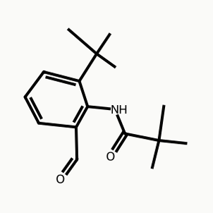 CC(C)(C)C(=O)Nc1c(C=O)cccc1C(C)(C)C